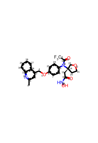 Cc1cc(COc2ccc(N(C(=O)C(F)(F)F)[C@@]3(CC(=O)NO)CCOC3)cc2)c2ccccc2n1